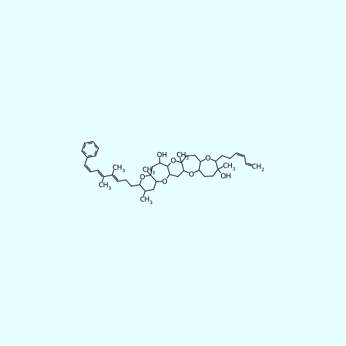 C=C/C=C\CCC1OC2CCC3(C)OC4C(O)CC5(C)OC(CC/C=C(C)/C(C)=C/C=C\c6ccccc6)C(C)CC5OC4CC3OC2CCC1(C)O